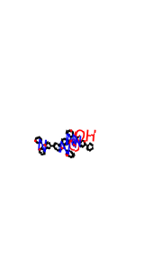 O=C1N(c2ccc3c4cc(-c5ccc6c(c5)c5ccccc5n6-c5ccccc5)ccc4n(-c4ccccc4)c3c2)c2ccccc2C(O)N1c1ccc(-c2ccccc2)cc1